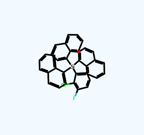 Fc1cccc([Si](c2cccc3ccccc23)(c2cccc3ccccc23)c2cccc3ccccc23)c1Cl